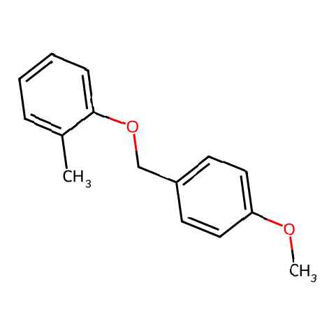 COc1ccc(COc2ccccc2C)cc1